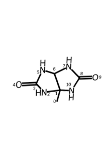 CC12NC(=O)NC1NC(=O)N2